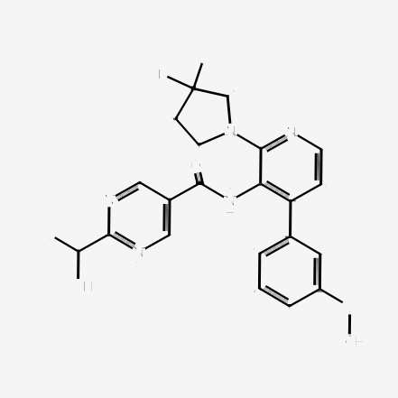 COc1cccc(-c2ccnc(N3CCC(F)(F)C3)c2NC(=O)c2cnc(C(C)C)nc2)c1